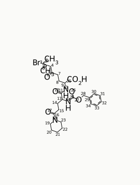 CS(C)(Br)CC(=O)CCC(NC(=O)C(CCC(=O)N1CCCCC1)NC(=O)OCc1ccccc1)C(=O)O